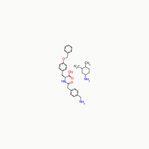 CC1CCC(N)CC1C.NCc1ccc(CC(=O)N[C@@H](Cc2ccc(OCc3ccccc3)cc2)C(=O)O)cc1